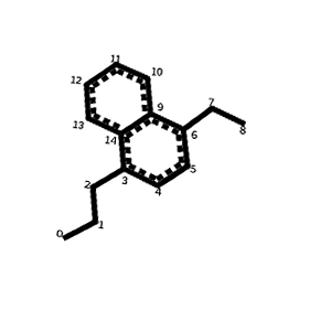 CCCc1ccc(CC)c2ccccc12